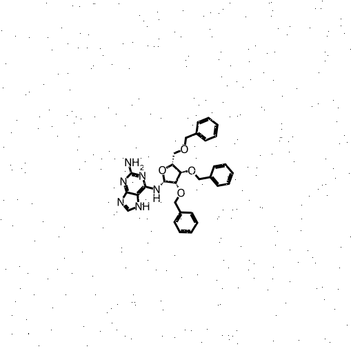 Nc1nc(N[C@@H]2O[C@H](COCc3ccccc3)[C@@H](OCc3ccccc3)[C@@H]2OCc2ccccc2)c2[nH]cnc2n1